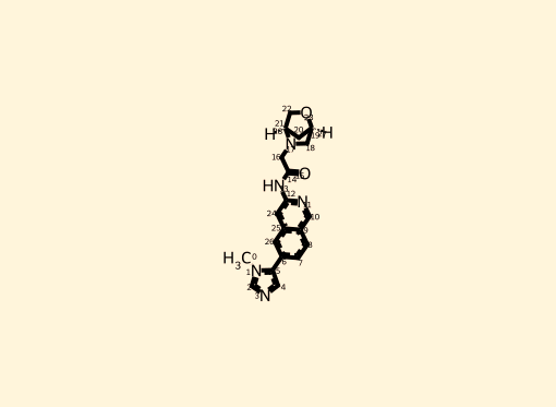 Cn1cncc1-c1ccc2cnc(NC(=O)CN3C[C@H]4C[C@@H]3CO4)cc2c1